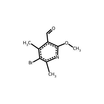 COc1nc(C)c(Br)c(C)c1C=O